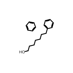 OCCCCCCCc1ccccc1.c1ccccc1